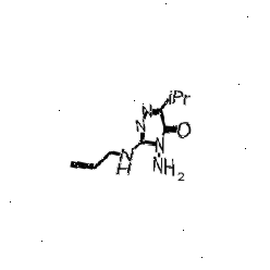 C=CCNc1nnc(C(C)C)c(=O)n1N